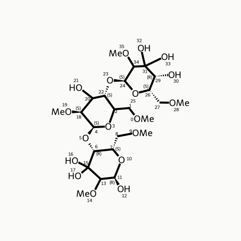 COCC1O[C@@H](O[C@@H]2[C@H](COC)O[C@@H](O)C(OC)C2(O)O)[C@@H](OC)C(O)[C@@H]1O[C@@H]1O[C@@H](COC)[C@@H](O)C(O)(O)C1OC